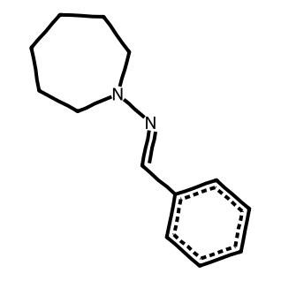 C(=NN1CCCCCC1)c1ccccc1